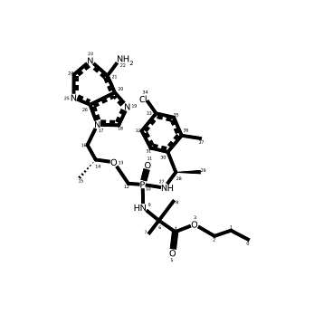 CCCOC(=O)C(C)(C)NP(=O)(CO[C@H](C)Cn1cnc2c(N)ncnc21)N[C@H](C)c1ccc(Cl)cc1C